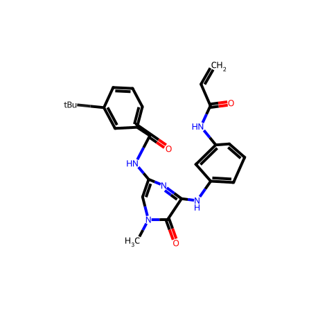 C=CC(=O)Nc1cccc(Nc2nc(NC(=O)c3cccc(C(C)(C)C)c3)cn(C)c2=O)c1